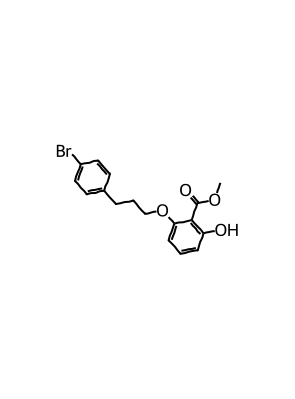 COC(=O)c1c(O)cccc1OCCCc1ccc(Br)cc1